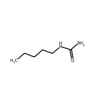 BC(=O)NCCCCC